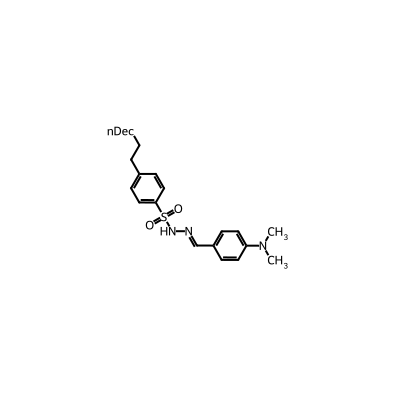 CCCCCCCCCCCCc1ccc(S(=O)(=O)NN=Cc2ccc(N(C)C)cc2)cc1